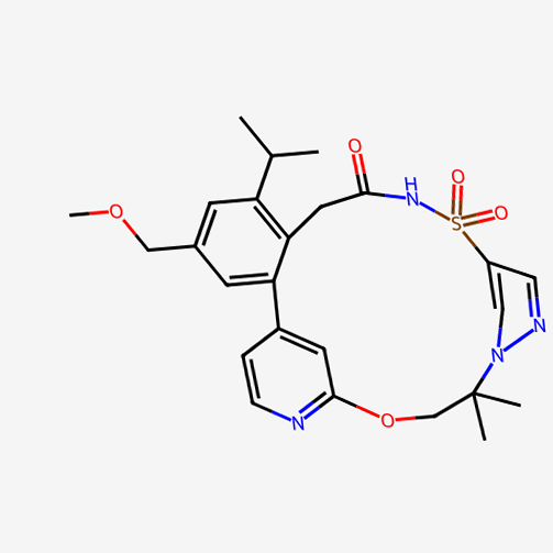 COCc1cc2c(c(C(C)C)c1)CC(=O)NS(=O)(=O)c1cnn(c1)C(C)(C)COc1cc-2ccn1